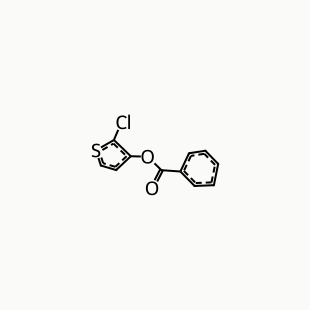 O=C(Oc1ccsc1Cl)c1ccccc1